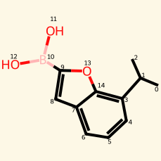 CC(C)c1cccc2cc(B(O)O)oc12